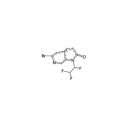 O=c1ccc2cc(Br)ncc2n1C(F)C(F)F